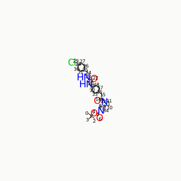 CC(C)(C)OC(=O)N1CC2(CCN2C(=O)Cc2ccc(NC(=O)NCc3ccc(Cl)cc3)cc2)C1